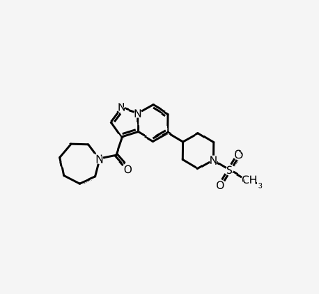 CS(=O)(=O)N1CCC(c2ccn3ncc(C(=O)N4CCCCCC4)c3c2)CC1